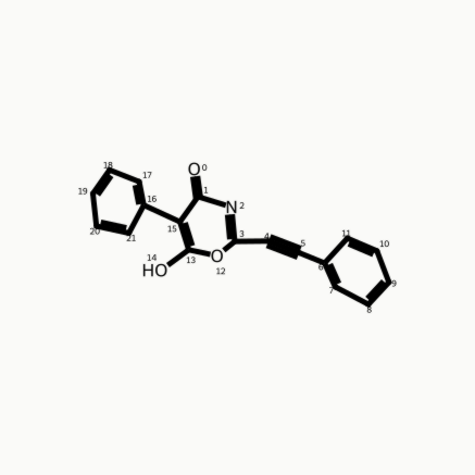 O=c1nc(C#Cc2ccccc2)oc(O)c1-c1ccccc1